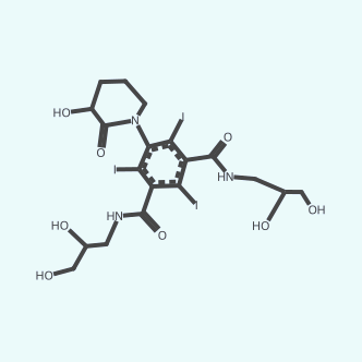 O=C(NCC(O)CO)c1c(I)c(C(=O)NCC(O)CO)c(I)c(N2CCCC(O)C2=O)c1I